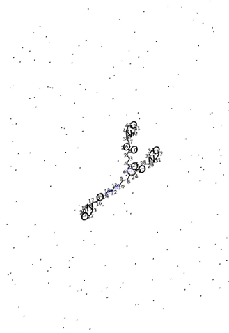 O=C(CCC/C=C/C(CC/C=C/C=C/COCCN1CCOCC1)CC(=O)OCCN1CCOCC1)OCCN1CCOCC1